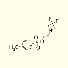 Cc1ccc(S(=O)(=O)OCCN2CC(F)(F)C2)cc1